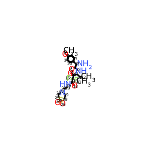 COc1ccc([C@H](N)C(=O)N[C@H](C(=O)C(F)(F)C(=O)NCCN2CCS(=O)(=O)CC2)C(C)C)cc1